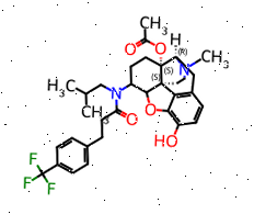 CC(=O)O[C@@]12CCC(N(CC(C)C)C(=O)CCc3ccc(C(F)(F)F)cc3)C3Oc4c(O)ccc5c4[C@@]31CCN(C)[C@@H]2C5